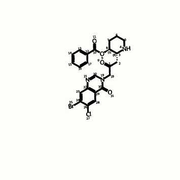 O=C(C[C@H]1NCCC[C@@H]1OC(=O)c1ccccc1)Cn1cnc2cc(Br)c(Cl)cc2c1=O